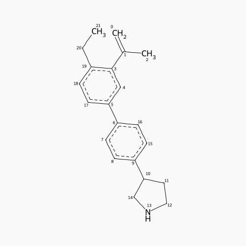 C=C(C)c1cc(-c2ccc(C3CCNC3)cc2)ccc1CC